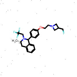 C[C@H]1Cc2ccccc2C(c2ccc(OCCN3CC(CF)C3)cc2)N1CC(F)(F)F